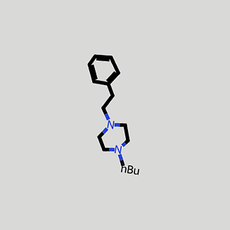 CCCCN1CCN(CCc2ccccc2)CC1